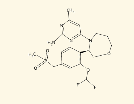 Cc1cc(N2CCCOC[C@H]2c2ccc(CS(C)(=O)=O)cc2OC(F)F)nc(N)n1